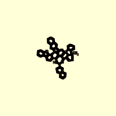 CC12C=CC=C(C3=NC(c4ccc5ccccc5c4)NC(c4ccc5c(oc6ccccc65)c4-n4c5ccccc5c5cc6ccccc6cc54)=CC3)C1Oc1ccccc12